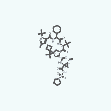 C=C[C@@H]1C[C@]1(NC(=O)[C@@H]1C[C@@]2(CN1C(=O)[C@@H](NC(=O)C(NC(=O)c1cc(C)nn1C(C)(C)C)C1CCCCC1)C(C)(C)C)C(C)(C)C21CCC1)C(=O)NS(=O)(=O)N1CCCC1